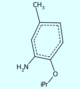 Cc1ccc(OC(C)C)c(N)c1